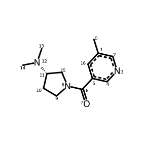 Cc1cncc(C(=O)N2CC[C@H](N(C)C)C2)c1